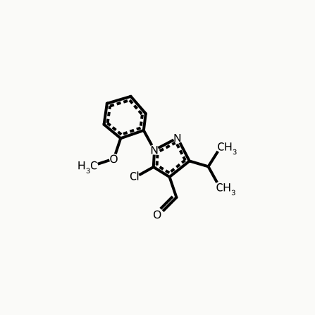 COc1ccccc1-n1nc(C(C)C)c(C=O)c1Cl